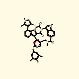 Cc1cc(OCCCc2c3n(c4c(-c5c(C)nn(C)c5C)cccc24)[C@H](C)C(Cl)N(c2cn(C)c4ccc(C(=O)N(C)Cc5cccnc5)cc24)C3=O)cc(C)c1Cl